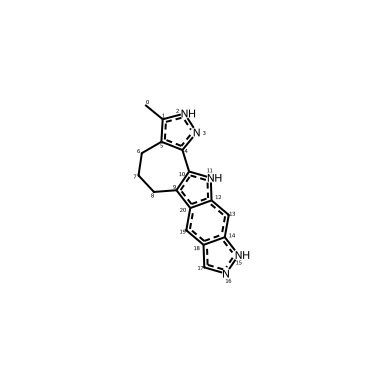 Cc1[nH]nc2c1CCCc1c-2[nH]c2cc3[nH]ncc3cc12